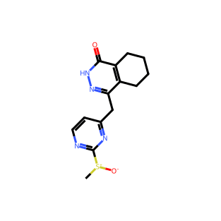 C[S+]([O-])c1nccc(Cc2n[nH]c(=O)c3c2CCCC3)n1